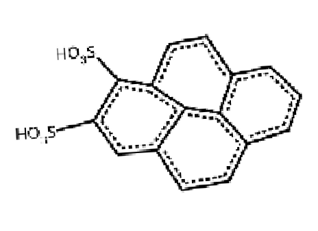 O=S(=O)(O)c1cc2ccc3cccc4ccc(c1S(=O)(=O)O)c2c34